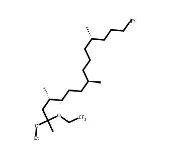 CCOC(C)(C[C@H](C)CCC[C@H](C)CCC[C@H](C)CCCC(C)C)OCC(F)(F)F